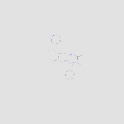 Cc1ccc(-n2c3c/c(=N\C4CCC(O)CC4)c(Nc4cccnc4C)cc-3nc3c2=CCCC=3)cc1